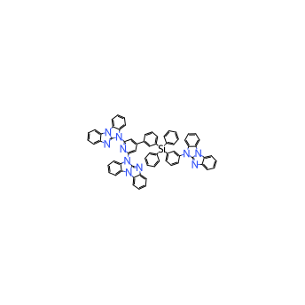 c1ccc([Si](c2ccccc2)(c2cccc(-c3cc(-n4c5ccccc5n5c6ccccc6nc45)nc(-n4c5ccccc5n5c6ccccc6nc45)c3)c2)c2cccc(-n3c4ccccc4n4c5ccccc5nc34)c2)cc1